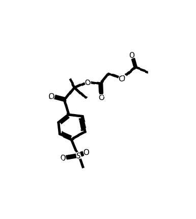 CC(=O)OCC(=O)OC(C)(C)C(=O)c1ccc(S(C)(=O)=O)cc1